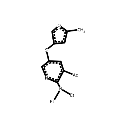 CCN(CC)c1ncc(Sc2coc(C)c2)cc1C(C)=O